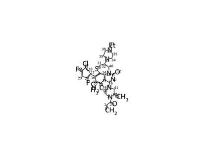 C=CC(=O)N1C[C@H](C)N(c2nc(=O)n3c4c(c(-c5cc(Cl)c(F)cc5F)c(C)cc24)SCC(N2CCN(CC)CC2)C3)C[C@H]1C